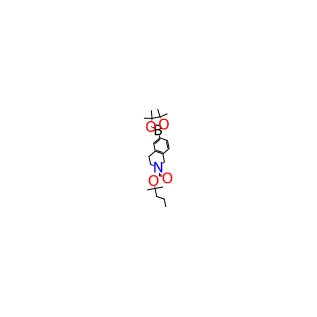 CCCC(C)(C)OC(=O)N1CCc2cc(B3OC(C)(C)C(C)(C)O3)ccc2C1